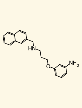 Nc1cccc(OCCCNCc2ccc3ccccc3c2)c1